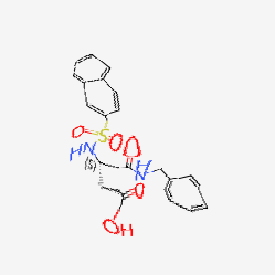 O=C(O)C[C@H](NS(=O)(=O)c1ccc2ccccc2c1)C(=O)NCc1ccccc1